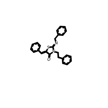 O=C1/C(=C/c2ccccc2)S/C(=N\Cc2ccccc2)N1CCc1ccccc1